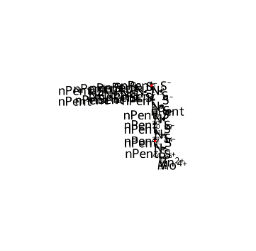 CCCCCN(CCCCC)C(=S)[S-].CCCCCN(CCCCC)C(=S)[S-].CCCCCN(CCCCC)C(=S)[S-].CCCCCN(CCCCC)C(=S)[S-].CCCCCN(CCCCC)C(=S)[S-].CCCCCN(CCCCC)C(=S)[S-].CCCCCN(CCCCC)C(=S)[S-].CCCCCN(CCCCC)C(=S)[S-].CCCCCN(CCCCC)C(=S)[S-].[Mo+4].[P+3].[Zn+2]